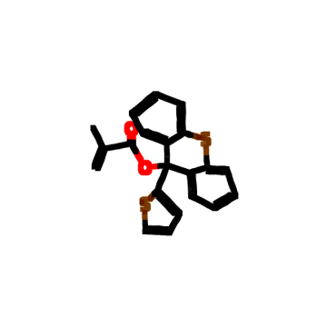 C=C(C)C(=O)OC1(c2cccs2)c2ccccc2Sc2ccccc21